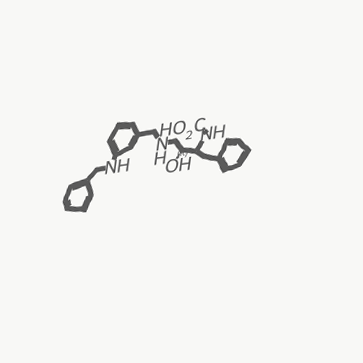 O=C(O)NC(Cc1ccccc1)[C@H](O)CNCc1cccc(NCc2ccccc2)c1